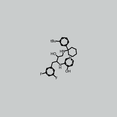 CC(C)(C)c1cccc(C2(NCC(O)C(Cc3cc(F)cc(F)c3)Nc3cnccc3O)CCCCC2)c1